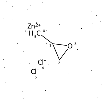 CC1CO1.[Cl-].[Cl-].[Zn+2]